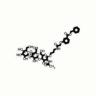 CC(=O)NC1C(O)[C@H](O[C@@H]2OC(CO)[C@H](O)C(O[C@H]3OC(CO)[C@H](O)C(O)C3O)C2O)C(CO)O[C@H]1OCCCNC(=O)COc1cccc(C(=O)OCc2ccccc2)c1